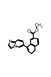 COC(=O)c1ccc2c(c1)C(c1ccc3nccn3c1)=CCC2